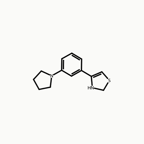 C1=C(c2cccc(N3CCCC3)c2)NCS1